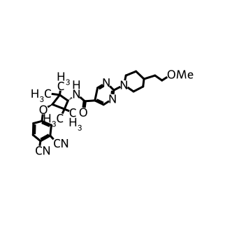 COCCC1CCN(c2ncc(C(=O)N[C@H]3C(C)(C)[C@H](Oc4ccc(C#N)c(C#N)c4)C3(C)C)cn2)CC1